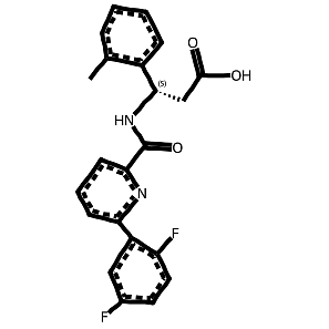 Cc1ccccc1[C@H](CC(=O)O)NC(=O)c1cccc(-c2cc(F)ccc2F)n1